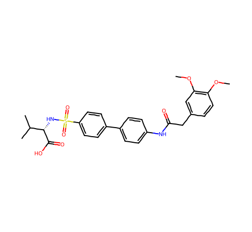 COc1ccc(CC(=O)Nc2ccc(-c3ccc(S(=O)(=O)N[C@H](C(=O)O)C(C)C)cc3)cc2)cc1OC